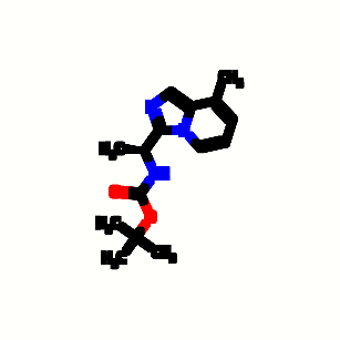 Cc1cccn2c([C@H](C)NC(=O)OC(C)(C)C)ncc12